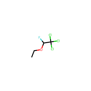 CCOC(F)C(Cl)(Cl)Cl